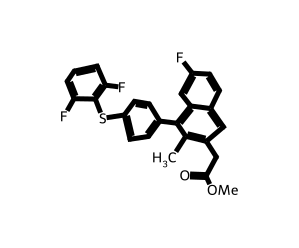 COC(=O)Cc1cc2ccc(F)cc2c(-c2ccc(Sc3c(F)cccc3F)cc2)c1C